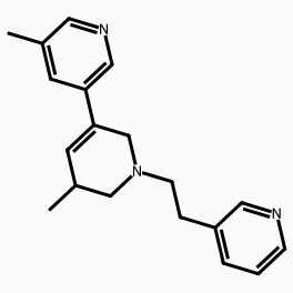 Cc1cncc(C2=CC(C)CN(CCc3cccnc3)C2)c1